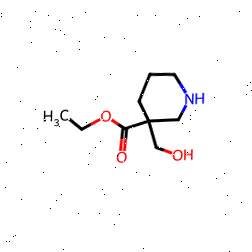 CCOC(=O)C1(CO)CCCNC1